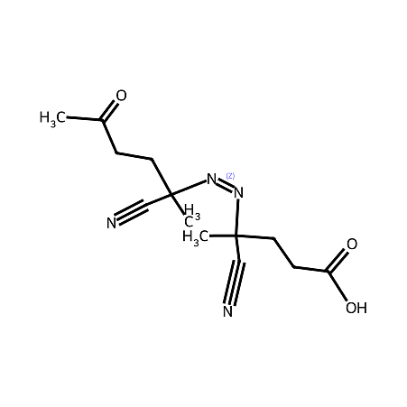 CC(=O)CCC(C)(C#N)/N=N\C(C)(C#N)CCC(=O)O